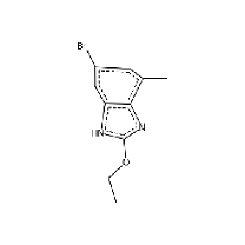 CCOc1nc2c(C)cc(Br)cc2[nH]1